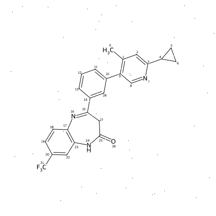 Cc1cc(C2CC2)ncc1-c1cccc(C2=Nc3ccc(C(F)(F)F)cc3NC(=O)C2)c1